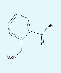 CNCc1ccccc1C(=O)C(C)C